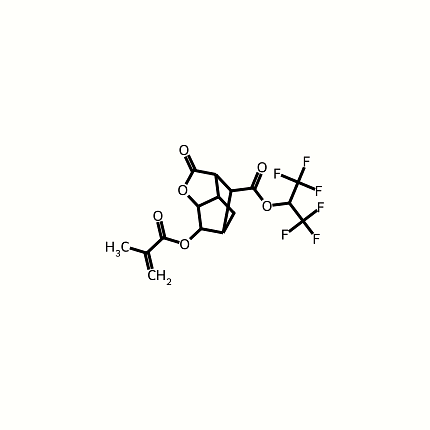 C=C(C)C(=O)OC1C2CC3C1OC(=O)C3C2C(=O)OC(C(F)(F)F)C(F)(F)F